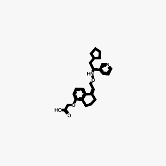 O=C(O)COc1cccc2c1CCC/C2=C/CONC(CC1CCCC1)c1cccnc1